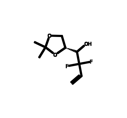 C=CC(F)(F)C(O)[C@H]1COC(C)(C)O1